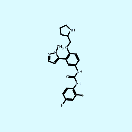 Cn1nccc1-c1cc(NC(=O)Nc2ccc(F)cc2F)ccc1OCC1CCCN1